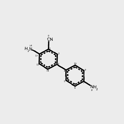 N#Cc1cc(-c2ccc(N)cc2)ccc1N